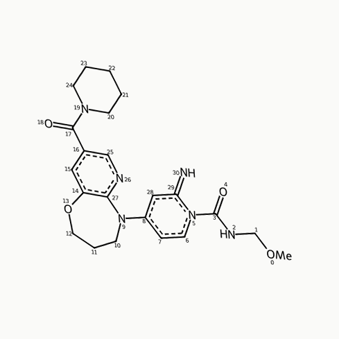 COCNC(=O)n1ccc(N2CCCOc3cc(C(=O)N4CCCCC4)cnc32)cc1=N